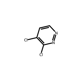 Clc1ccnnc1Cl